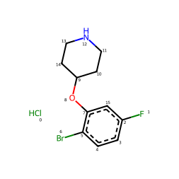 Cl.Fc1ccc(Br)c(OC2CCNCC2)c1